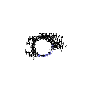 COC(=O)[C@H]1[C@@H]2C[C@@H](O[C@@H]3O[C@H](C)[C@@H](O)[C@H](N)[C@@H]3O)/C=C/C=C/C=C/C=C/C=C/C=C/C=C/[C@H](C)[C@@H](O)[C@H](C)[C@H](C)OC(=O)C[C@H](O)C[C@H](O)[C@@H](O)CC[C@H](O)C[C@H](O)C[C@](O)(C[C@@H]1O)O2